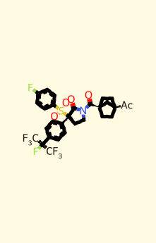 CC(=O)[C@]12CC[C@](C(=O)N3CC[C@](c4ccc(C(F)(C(F)(F)F)C(F)(F)F)cc4)(S(=O)(=O)c4ccc(F)cc4)C3=O)(CC1)C2